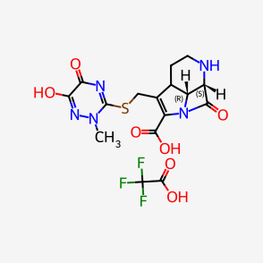 Cn1nc(O)c(=O)nc1SCC1=C(C(=O)O)N2C(=O)[C@H]3NCCC1[C@H]32.O=C(O)C(F)(F)F